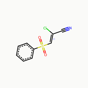 N#C/C(Cl)=C/S(=O)(=O)c1ccccc1